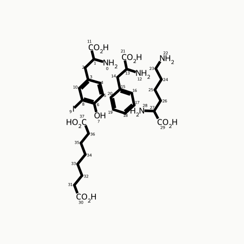 NC(Cc1ccc(O)c(I)c1)C(=O)O.NC(Cc1ccccc1)C(=O)O.NCCCCC(N)C(=O)O.O=C(O)CCCCCCC(=O)O